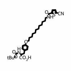 CC(C)(C)OC(=O)NC(Cc1ccc(OCCCCCCCCCCCCNC(=O)c2ccc(C#N)s2)cc1)C(=O)O